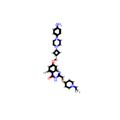 Nc1ccc(N2CCN([C@H]3C[C@@H](COc4cc(F)c5c(=O)[nH]c(CSC6CCN(CC(F)(F)F)CC6)nc5c4)C3)CC2)cc1